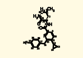 CC(C)C[C@H](NC(=O)c1ccc(C2CC2)c(Cc2ccc(F)cc2)n1)C(N)=O